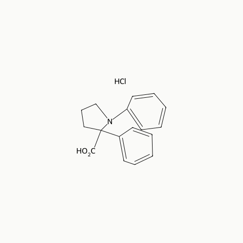 Cl.O=C(O)C1(c2ccccc2)CCCN1c1ccccc1